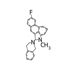 CN1c2cccc3c2c(cc2ccc(F)cc23)C1N1CCc2ccccc2C1